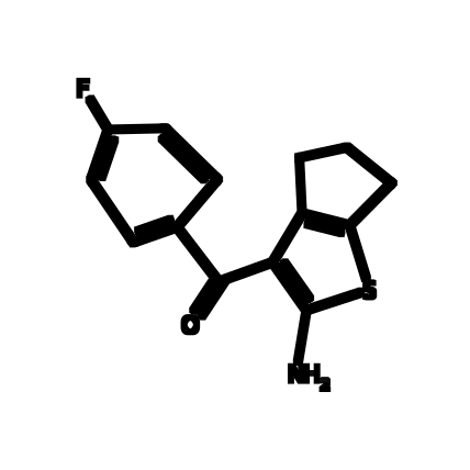 Nc1sc2c(c1C(=O)c1ccc(F)cc1)CCC2